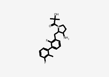 Cc1c(F)cccc1-c1cccc(CC2C(N)CCN2C(=O)C(C)(C)O)c1F